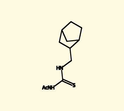 CC(=O)NC(=S)NCC1CC2CCC1C2